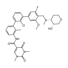 COc1cc(-c2cccc(-c3cccc(NC(=O)c4cn(C)c(=O)n(C)c4=O)c3C)c2Cl)cc(F)c1CN(C)[C@@H]1CCOC[C@@H]1O